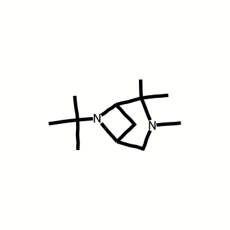 CN1CC2CC(N2C(C)(C)C)C1(C)C